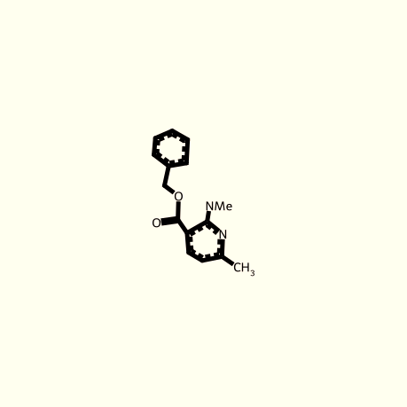 CNc1nc(C)ccc1C(=O)OCc1ccccc1